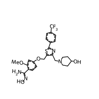 COc1cc(OCc2sc(-c3ccc(C(F)(F)F)cc3)nc2CN2CCC(O)CC2)ccc1/C(N)=N/O